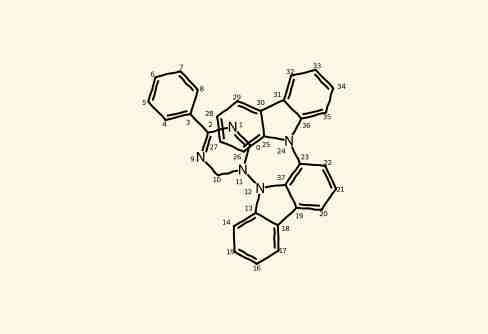 C1=NC(c2ccccc2)=NCN1n1c2ccccc2c2cccc(-n3c4ccccc4c4ccccc43)c21